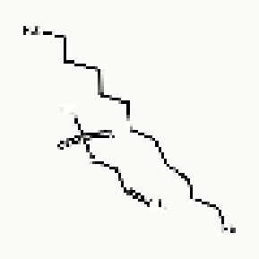 C=CCOS(=O)(=O)O.CCCCCCCCCCC[CH2][Na]